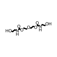 O=C(NCCO)OCCOCCOC(=O)NCCO